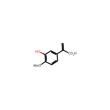 C=C(C(=O)O)c1ccc(OC)c(O)c1